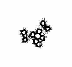 c1ccc2c(c1)-c1cc(-n3c4ccccc4c4ccccc43)ccc1-c1ccc(-n3c4ccccc4c4ccccc43)cc1-c1ccc3cccnc3c1-2